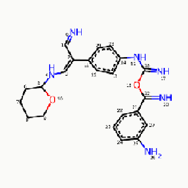 N=C/C(=C\NC1CCCCO1)c1ccc(NC(=N)OC(=N)c2cccc(N)c2)cc1